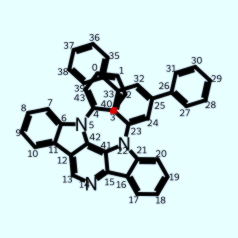 C1=CCCC(n2c3ccccc3c3cnc4c5ccccc5n(-c5cc(-c6ccccc6)cc(-c6ccccc6)c5)c4c32)=C1